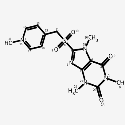 Cn1c(=O)c2c(nc(S(=O)(=O)Cc3cc[n+](O)cc3)n2C)n(C)c1=O